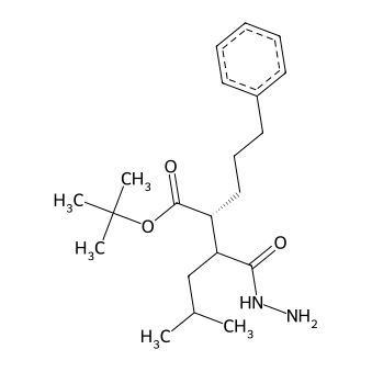 CC(C)CC(C(=O)NN)[C@@H](CCCc1ccccc1)C(=O)OC(C)(C)C